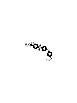 CCC(C)(CC)c1ccc(S(=O)(=O)c2ccc(Oc3ccc(OC(C)(C)C)cc3)cc2)cc1